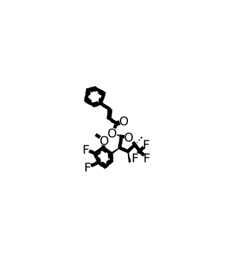 COc1c([C@H]2[C@H](OC(=O)/C=C/c3ccccc3)O[C@@](C)(C(F)(F)F)[C@H]2C)ccc(F)c1F